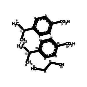 CN(C)c1ccc(C(=O)O)cc1.CN(C)c1ccc(C(=O)O)cc1.OCCO